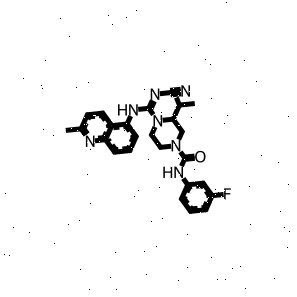 Cc1ccc2c(N/C(=N/C#N)N3CCN(C(=O)Nc4cccc(F)c4)CC3C(C)C)cccc2n1